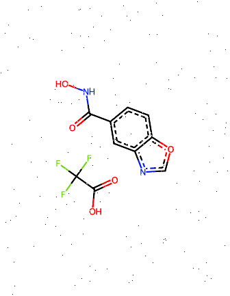 O=C(NO)c1ccc2ocnc2c1.O=C(O)C(F)(F)F